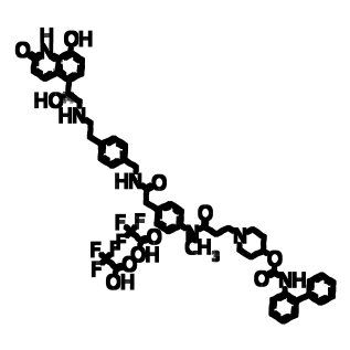 CN(C(=O)CCN1CCC(OC(=O)Nc2ccccc2-c2ccccc2)CC1)c1ccc(CC(=O)NCc2ccc(CCNC[C@H](O)c3ccc(O)c4[nH]c(=O)ccc34)cc2)cc1.O=C(O)C(F)(F)F.O=C(O)C(F)(F)F